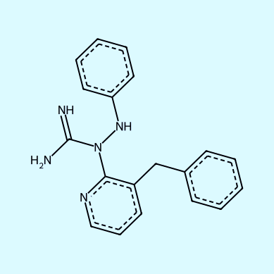 N=C(N)N(Nc1ccccc1)c1ncccc1Cc1ccccc1